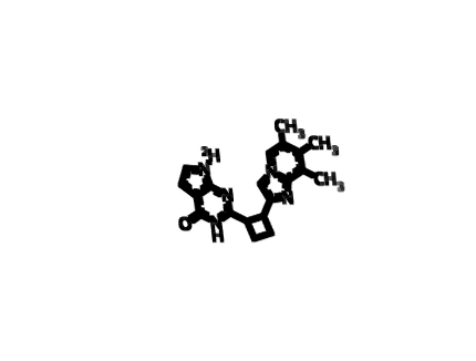 [2H]n1ccc2c(=O)[nH]c(C3CCC3c3cn4cc(C)c(C)c(C)c4n3)nc21